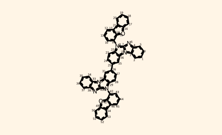 c1ccc2c(c1)nc1n(-c3cccc4c3oc3ccccc34)c3ccc(-c4ccc5c(c4)n4c6ccccc6nc4n5-c4cccc5c4oc4ccccc45)cc3n21